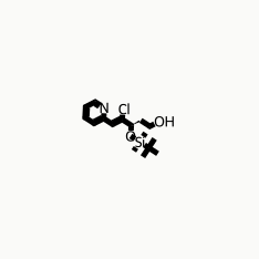 CC(C)(C)[Si](C)(C)O[C@@H](CCO)/C(Cl)=C/c1ccccn1